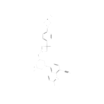 Bc1ccc2c(N3C[C@H](CN4CC(O)(c5ccc(N6CC(C)(N)C6)cc5)C4)O[C@H](C)C3)ccc(C#N)c2n1